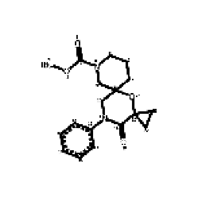 CC(C)(C)OC(=O)N1CCCC2(C1)CN(c1ccccc1)C(=O)C1(CC1)O2